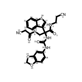 N#CCCNC(=O)C(CNC(=O)CC#N)(NC(=O)Nc1ccc2c(c1)OCO2)c1csc2ccccc12